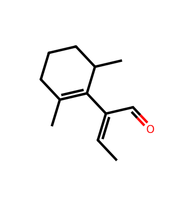 CC=C(C=O)C1=C(C)CCCC1C